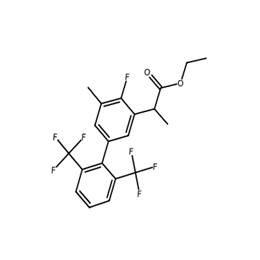 CCOC(=O)C(C)c1cc(-c2c(C(F)(F)F)cccc2C(F)(F)F)cc(C)c1F